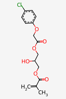 C=C(C)C(=O)OCC(O)COC(=O)COc1ccc(Cl)cc1